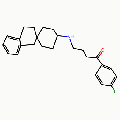 O=C(CCCNC1CCC2(CCc3ccccc3C2)CC1)c1ccc(F)cc1